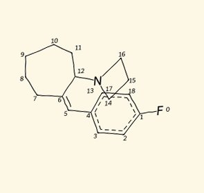 Fc1ccc(/C=C2/CCCCCC2N2CCC2)cc1